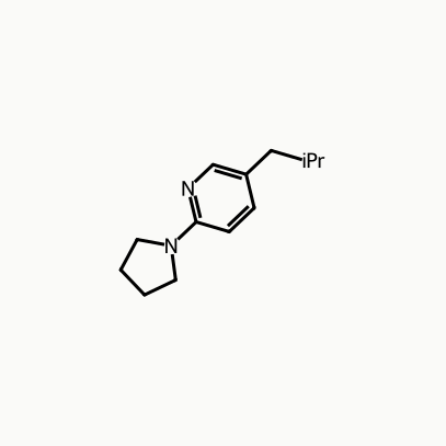 CC(C)Cc1ccc(N2CCCC2)nc1